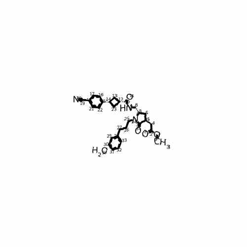 COC(=O)C[C@@H]1C[C@@H](CNC(=O)[C@H]2C[C@@H](c3ccc(C#N)cc3)C2)N(CCCc2ccccc2)C1=O.O